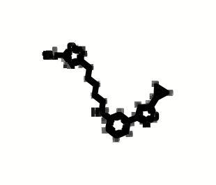 CC(C)(C)c1nc(CCCCCNc2cccc(-c3cc(C4CC4)on3)c2)no1